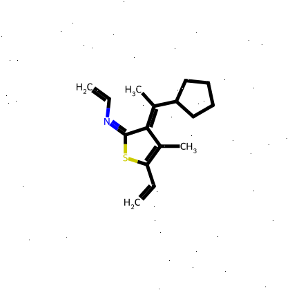 C=C/N=C1/SC(C=C)=C(C)/C1=C(/C)C1CCCC1